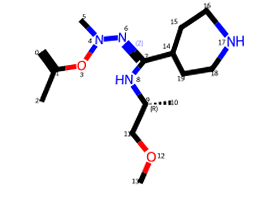 C=C(C)ON(C)/N=C(\N[C@H](C)COC)C1CCNCC1